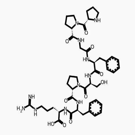 N=C(N)NCCC[C@H](NC(=O)[C@H](Cc1ccccc1)NC(=O)[C@@H]1CCCN1C(=O)[C@H](CO)NC(=O)[C@H](Cc1ccccc1)NC(=O)CNC(=O)[C@@H]1CCCN1C(=O)[C@@H]1CCCN1)C(=O)O